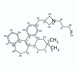 CC1(C)CCC(C2=C(c3ccc(CC4CN(CCCF)C4)cc3)c3ccccc3CCC2)CC1